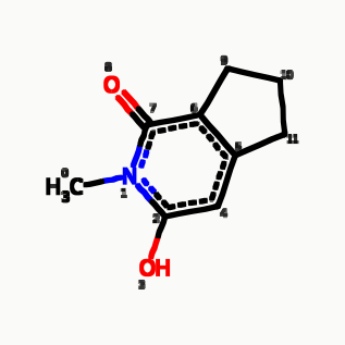 Cn1c(O)cc2c(c1=O)CCC2